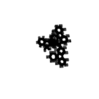 CC1(C)c2ccccc2-c2ccc(N(c3ccc4c(c3)C3(CCCCC3)c3ccccc3-4)c3cccc4c3C3(c5ccccc5-4)C4CCC5CC(C4)CC3C5)cc21